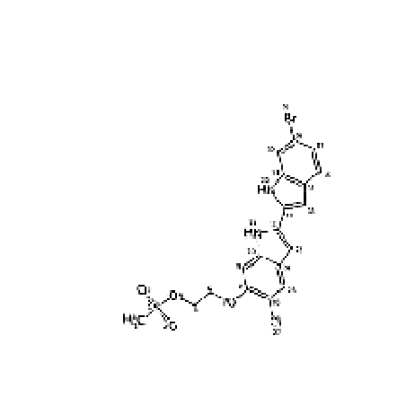 CS(=O)(=O)OCCOc1cc2[nH]c(-c3cc4ccc(Br)cc4[nH]3)cc2cc1Cl